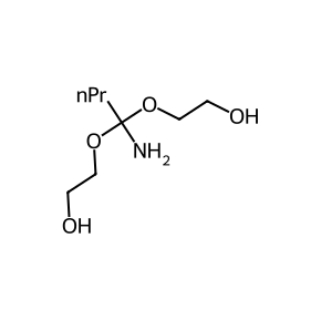 CCCC(N)(OCCO)OCCO